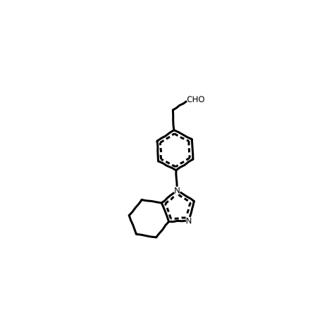 O=CCc1ccc(-n2cnc3c2CCCC3)cc1